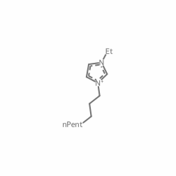 [CH]Cn1cc[n+](CCCCCCCC)c1